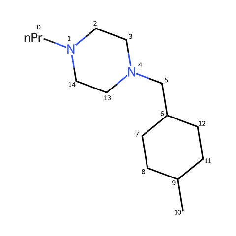 CCCN1CCN(CC2CCC(C)CC2)CC1